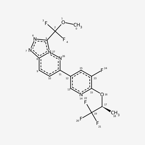 COC(F)(F)c1nnc2ccc(-c3cnc(O[C@@H](C)C(F)(F)F)c(F)c3)nn12